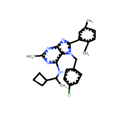 Cc1ccc(C)c(-c2nc3nc(C(=O)O)nc(NC(C)C4CCC4)c3n2Cc2ccc(Cl)cc2)c1